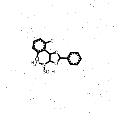 CN(C1OC(c2ccccc2)OC1c1c(Cl)cccc1Cl)S(=O)(=O)O